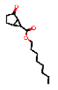 CCCCCCCCOC(=O)C1C2CCC(=O)C21